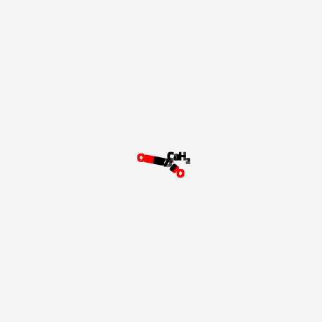 [CaH2].[O]=[Zr]=[O]